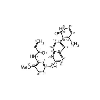 C=CC(=O)Nc1cc(Nc2ncc3cc(-c4c(C)cc[nH]c4=O)ccc3n2)ccc1OC